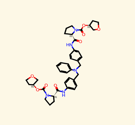 O=C(Nc1ccc(CN(Cc2ccc(NC(=O)[C@@H]3CCCN3C(=O)O[C@H]3CCOC3)cc2)c2ccccc2)cc1)[C@@H]1CCCN1C(=O)O[C@H]1CCOC1